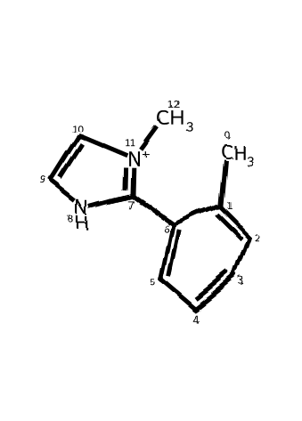 Cc1ccccc1-c1[nH]cc[n+]1C